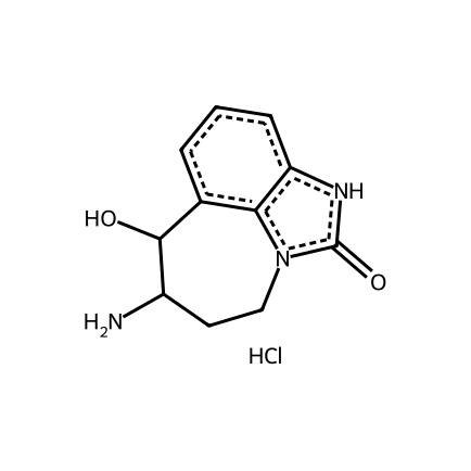 Cl.NC1CCn2c(=O)[nH]c3cccc(c32)C1O